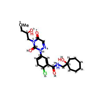 COC[C@@H](O)Cn1c(=O)cnn(C2=CCC(Cl)C(C(=O)NCC3(O)CCCCCC3)=C2)c1=O